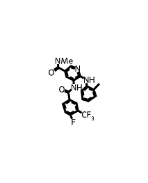 CNC(=O)c1cnc(Nc2ccccc2C)c(NC(=O)c2ccc(F)c(C(F)(F)F)c2)c1